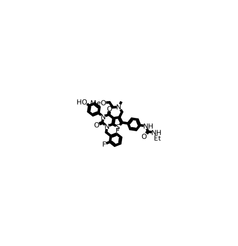 CCNC(=O)Nc1ccc(-c2sc3c(c2CN(C)CCOC)c(=O)n(-c2ccc(O)cc2)c(=O)n3Cc2c(F)cccc2F)cc1